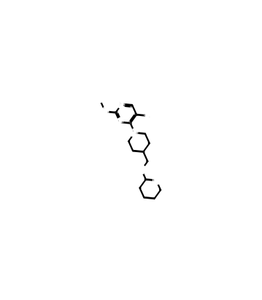 COc1ncc(Br)c(N2CCC(COC3CCCCO3)CC2)n1